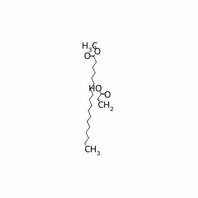 C=CC(=O)O.CCCCCCCCCCCCCCCCCC(=O)OC